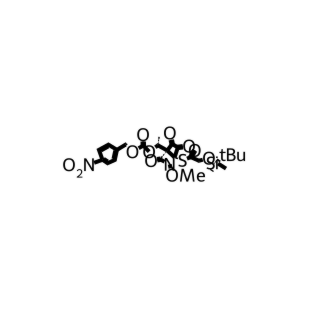 CON1C(=O)[C@]2([C@@H](C)OC(=O)OCc3ccc([N+](=O)[O-])cc3)C(=O)C(=O)[C@@]12SC(=O)CO[Si](C)(C)C(C)(C)C